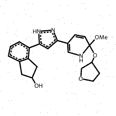 COC1(OC2CCOC2)C=CC(c2cc(-c3cccc4c3CC(O)C4)[nH]n2)=CN1